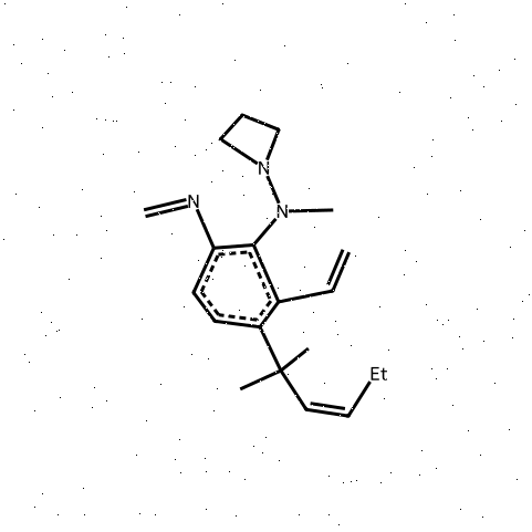 C=Cc1c(C(C)(C)/C=C\CC)ccc(N=C)c1N(C)N1CCC1